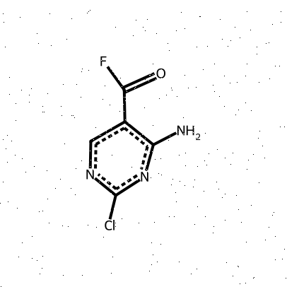 Nc1nc(Cl)ncc1C(=O)F